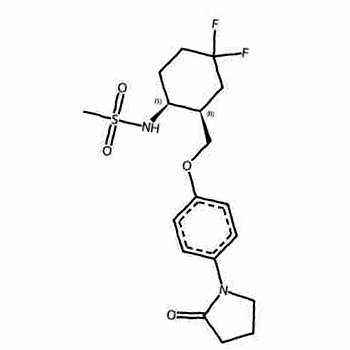 CS(=O)(=O)N[C@H]1CCC(F)(F)C[C@H]1COc1ccc(N2CCCC2=O)cc1